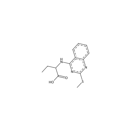 CCC(Nc1nc(SC)nc2ccccc12)C(=O)O